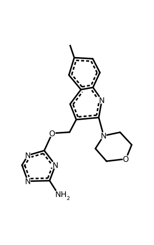 Cc1ccc2nc(N3CCOCC3)c(COc3ncnc(N)n3)cc2c1